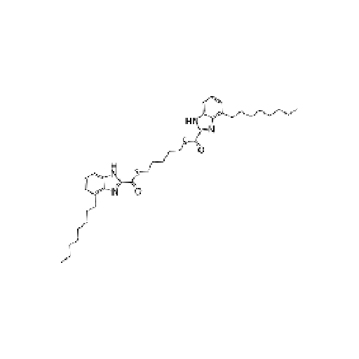 CCCCCCCCc1cccc2[nH]c(C(=O)SCCCCCSC(=O)c3nc4c(CCCCCCCC)cccc4[nH]3)nc12